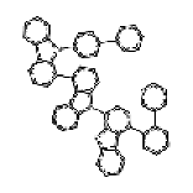 c1ccc(-c2ccc(-n3c4ccccc4c4cccc(-c5cccc6c5c5ccccc5n6-c5ccc(-c6ccccc6-c6ccccc6)c6c5sc5ccccc56)c43)cc2)cc1